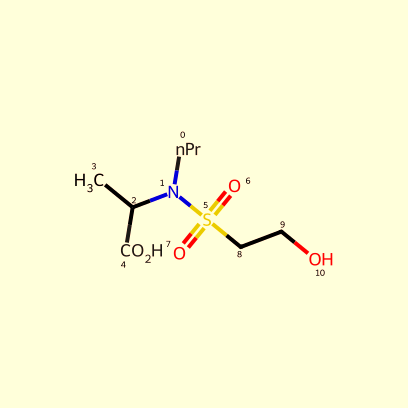 CCCN(C(C)C(=O)O)S(=O)(=O)CCO